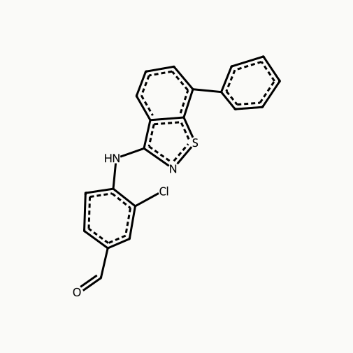 O=Cc1ccc(Nc2nsc3c(-c4ccccc4)cccc23)c(Cl)c1